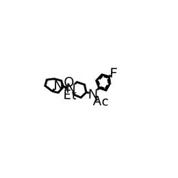 CCC(=O)N1C2CCC1CC(N1CCC(N(C(C)=O)c3ccc(F)cc3)CC1)C2